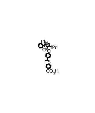 CC(C)c1cnn(-c2c(Cl)cccc2Cl)c1COc1ccc(C(C)Sc2ccc(C(=O)O)cc2)cc1